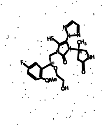 COc1ccc(F)cc1[C@H](Cn1c(S)c(-n2nccn2)n([C@]2(C)CNC(=O)C2)c1=O)OCCO